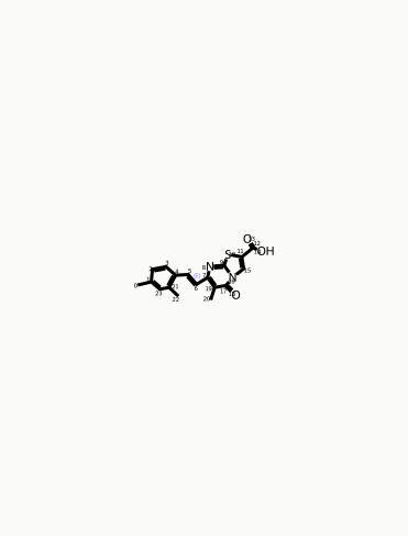 Cc1ccc(/C=C/c2nc3sc(C(=O)O)cn3c(=O)c2C)c(C)c1